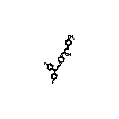 Cc1ccc(SCC(O)CN2CCN(CCCC(c3ccc(F)cc3)c3ccc(F)cc3)CC2)cc1